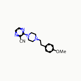 COc1ccc(CCN2CCN(c3nccnc3C#N)CC2)cc1